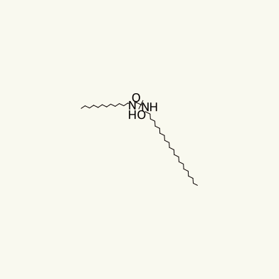 CCCCCCCCCCCCCCCCCCCCCC(=O)NC(C)(C)C(=O)NCCCCCCCCCCCC